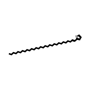 CCCCCCCCCCCCCCCCCCCCCCCCCCCCC=CC1=CC=C[N]1